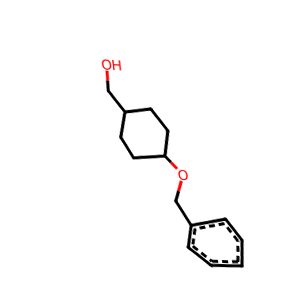 OCC1CCC(OCc2ccccc2)CC1